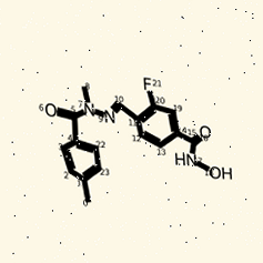 Cc1ccc(C(=O)N(C)N=Cc2ccc(C(=O)NO)cc2F)cc1